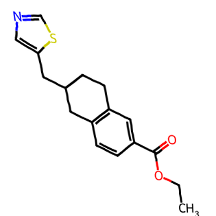 CCOC(=O)c1ccc2c(c1)CCC(Cc1cncs1)C2